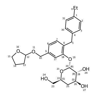 CCc1ccc(Cc2ccc(COC3CCCO3)cc2O[C@H]2O[C@H](CO)C[C@H](O)[C@H]2O)cc1